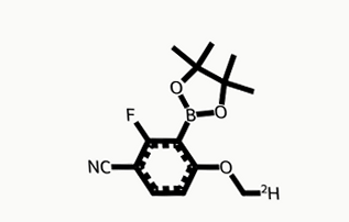 [2H]COc1ccc(C#N)c(F)c1B1OC(C)(C)C(C)(C)O1